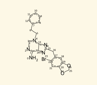 Nc1ncn(CCc2ccccc2)c2nc(Cc3cc4c(cc3Br)OCO4)nc1-2